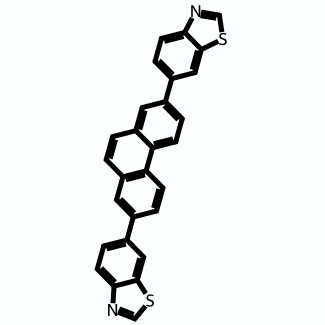 c1nc2ccc(-c3ccc4c(ccc5cc(-c6ccc7ncsc7c6)ccc54)c3)cc2s1